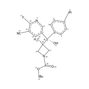 CC(C)c1ccc([C@](O)(c2cnc(F)c(C#N)c2)C2(C)CN(C(=O)OC(C)(C)C)C2)cc1